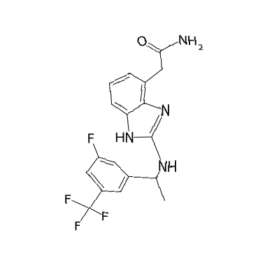 CC(Nc1nc2c(CC(N)=O)cccc2[nH]1)c1cc(F)cc(C(F)(F)F)c1